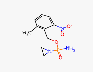 Cc1cccc([N+](=O)[O-])c1COP(N)(=O)N1CC1